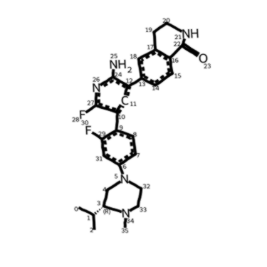 CC(C)[C@@H]1CN(c2ccc(-c3cc(-c4ccc5c(c4)CCNC5=O)c(N)nc3F)c(F)c2)CCN1C